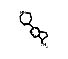 C=C1CCc2cc(C3=CCCNCC3)ccc21